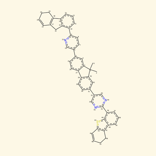 CC1(C)c2cc(-c3ccc(-c4cccc5c4CC4=C5CCC=C4)nc3)ccc2-c2ccc(-c3cnc(-c4cccc5c6c(sc45)C=CCC6)nc3)cc21